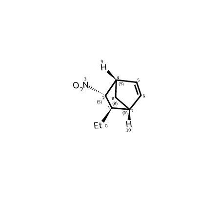 CC[C@H]1[C@H]([N+](=O)[O-])[C@@H]2C=C[C@H]1C2